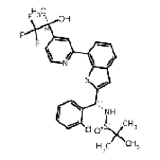 CC(C)(C)[S+]([O-])N[C@@H](c1cc2cccc(-c3cc([C@](C)(O)C(F)(F)F)ccn3)c2s1)c1ccccc1Cl